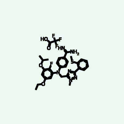 CCOc1cc(OC(C)C)c(F)c(N(Cc2nc(-c3ccccc3SC)nn2C)c2ccc(C(=N)N)cc2)c1.O=C(O)C(F)(F)F